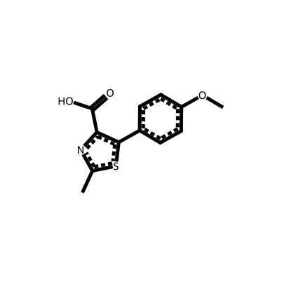 COc1ccc(-c2sc(C)nc2C(=O)O)cc1